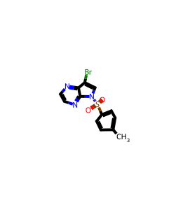 Cc1ccc(S(=O)(=O)n2cc(Br)c3nccnc32)cc1